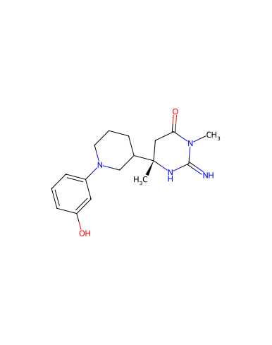 CN1C(=N)N[C@](C)(C2CCCN(c3cccc(O)c3)C2)CC1=O